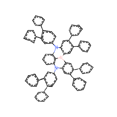 c1ccc(-c2ccc(N3c4cc(-c5ccccc5)c(-c5ccccc5)cc4B4c5cc(-c6ccccc6)c(-c6ccccc6)cc5N(c5ccc(-c6ccccc6)c(-c6ccccc6)c5)c5cccc3c54)cc2-c2ccccc2)cc1